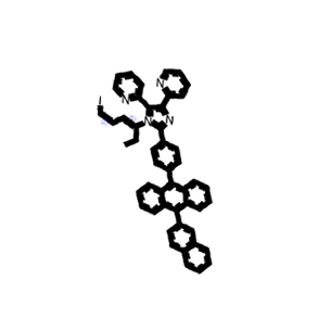 CC/C(=C\C=C/I)n1c(-c2ccc(-c3c4ccccc4c(-c4ccc5ccccc5c4)c4ccccc34)cc2)nc(-c2ccccn2)c1-c1ccccn1